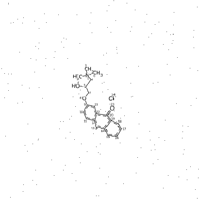 C[N+](C)(C)CC(O)COc1ccc2sc3ccccc3c(=O)c2c1.[Cl-]